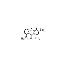 CCC(C)[P](=O)c1ccccc1C(=O)c1c(C)cc(C)c(C)c1C